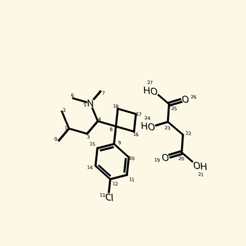 CC(C)CC(N(C)C)C1(c2ccc(Cl)cc2)CCC1.O=C(O)CC(O)C(=O)O